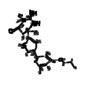 CCCOc1cc(C)cc(-c2csc(C3(C)CC(=O)N(C)C(=N)N3)c2)c1